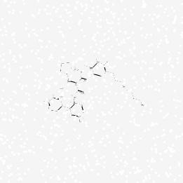 C[C@]12CCCN1N(Cc1ccc(CCCOCCCO)c(F)c1F)C(=O)C(C(=O)Nc1ccc(C(F)(F)F)cc1-c1ccc(C(F)(F)F)nc1)=C2O